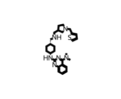 CN(C)c1nc(N[C@H]2CC[C@@H](CNCC3CCN(Cc4cccs4)C3)CC2)nc2ccccc12